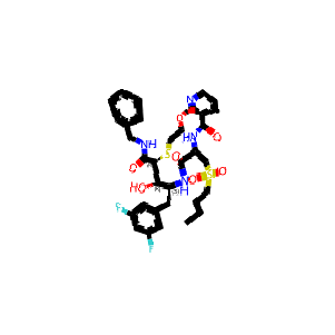 CCCCS(=O)(=O)CC(NC(=O)c1cccnc1)C(=O)N[C@@H](Cc1cc(F)cc(F)c1)[C@@H](O)[C@@H](SCCOC)C(=O)NCc1ccccc1